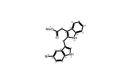 COC(=O)Cc1c(Cc2c[nH]c3ccc(Br)cc23)[nH]c2ccccc12